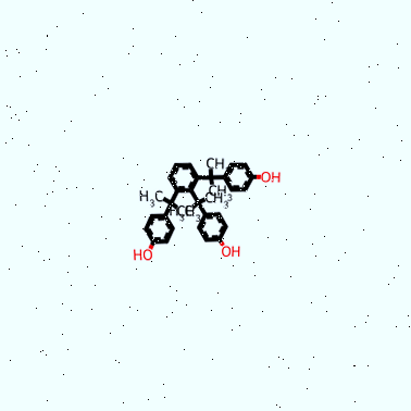 CC(C)(c1ccc(O)cc1)c1cccc(C(C)(C)c2ccc(O)cc2)c1C(C)(C)c1ccc(O)cc1